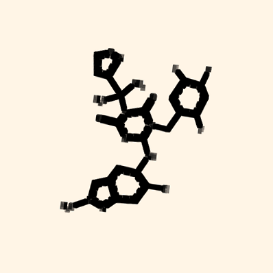 BC(B)(c1ccon1)n1c(=O)nc(Nc2cc3cn(C)nc3cc2Cl)n(Cc2cc(F)c(F)cc2F)c1=O